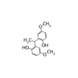 COc1ccc(O)c(C(C)c2cc(OC)ccc2O)c1